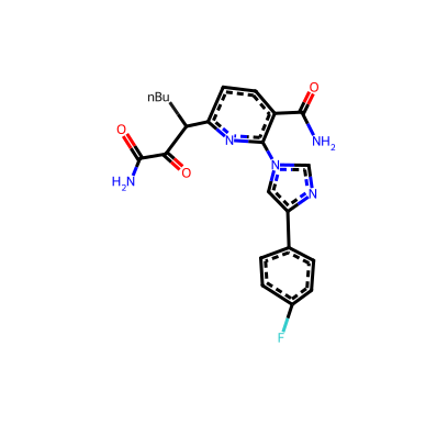 CCCCC(C(=O)C(N)=O)c1ccc(C(N)=O)c(-n2cnc(-c3ccc(F)cc3)c2)n1